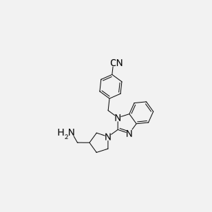 N#Cc1ccc(Cn2c(N3CCC(CN)C3)nc3ccccc32)cc1